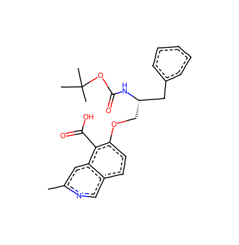 Cc1cc2c(C(=O)O)c(OC[C@@H](Cc3ccccc3)NC(=O)OC(C)(C)C)ccc2cn1